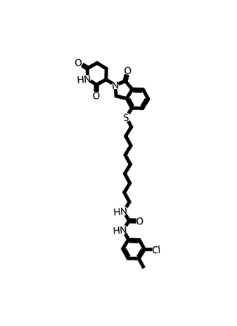 Cc1ccc(NC(=O)NCCCCCCCCCSc2cccc3c2CN(C2CCC(=O)NC2=O)C3=O)cc1Cl